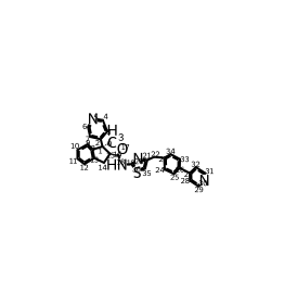 C[C@@]1(c2ccncc2)c2ccccc2C[C@@H]1C(=O)Nc1nc(Cc2ccc(-c3ccncc3)cc2)cs1